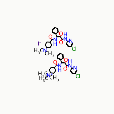 CN(C)C1CCC(C(=O)Nc2c(C(=O)Nc3ccc(Cl)cn3)oc3ccccc23)CC1.C[N+](C)(C)[C@H]1CC[C@H](C(=O)Nc2c(C(=O)Nc3ccc(Cl)cn3)oc3ccccc23)CC1.[I-]